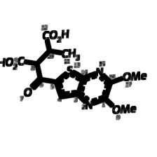 COc1nc2cc(C(=O)C(C(=O)O)C(C)C(=O)O)sc2nc1OC